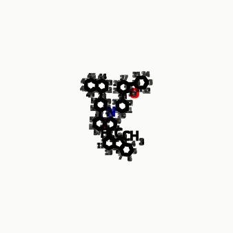 CC1(C)c2ccccc2-c2cccc(-c3ccc(N(c4cccc(-c5cccc6c5oc5ccccc56)c4)c4cc(-c5cccc6ccccc56)ccc4-c4ccccc4)cc3)c21